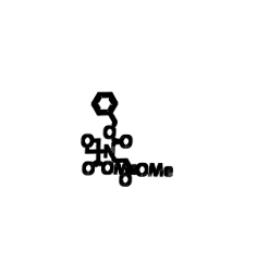 COC(=O)CCN(C(=O)OCc1ccccc1)C1(C(=O)OC)COC1